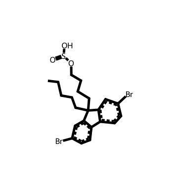 CCCCCC1(CCCCOS(=O)O)c2cc(Br)ccc2-c2ccc(Br)cc21